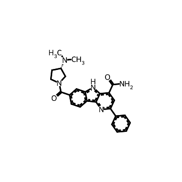 CN(C)[C@H]1CCN(C(=O)c2ccc3c(c2)[nH]c2c(C(N)=O)cc(-c4ccccc4)nc23)C1